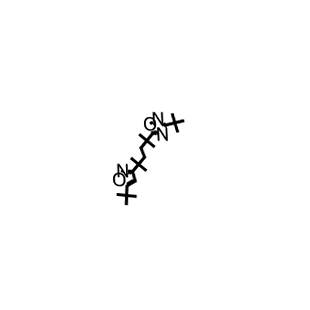 CC(C)(C)c1noc(C(C)(C)CCC(C)(C)c2cc(C(C)(C)C)on2)n1